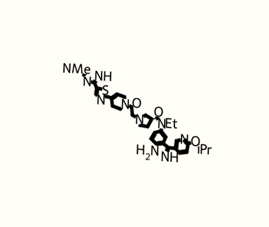 CCN(C(=O)[C@@H]1CCN(CC(=O)N2CC=C(c3ncc(C(=N)/N=C\NC)s3)CC2)C1)c1ccc(N)c(C(=N)c2ccc(OC(C)C)nc2)c1